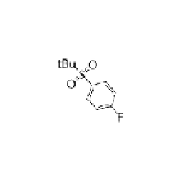 CC(C)(C)S(=O)(=O)c1ccc(F)cc1